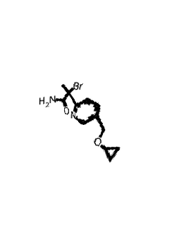 CC(Br)(C(N)=O)c1ccc(COC2CC2)cn1